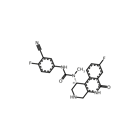 CN(C(=O)Nc1ccc(F)c(C#N)c1)[C@H]1CNCc2[nH]c(=O)c3cc(F)ccc3c21